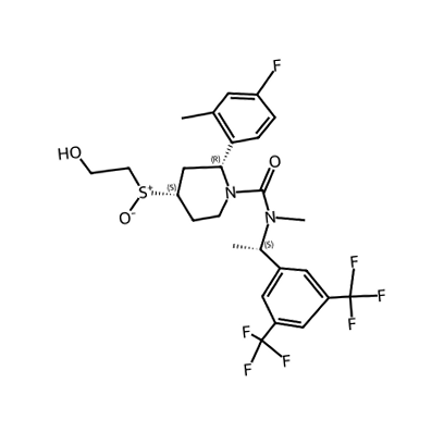 Cc1cc(F)ccc1[C@H]1C[C@@H]([S+]([O-])CCO)CCN1C(=O)N(C)[C@@H](C)c1cc(C(F)(F)F)cc(C(F)(F)F)c1